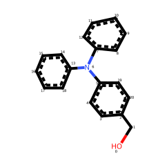 OCc1ccc(N(c2cc[c]cc2)c2ccccc2)cc1